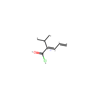 C=C/C=C(/C(=O)Cl)C(C)C